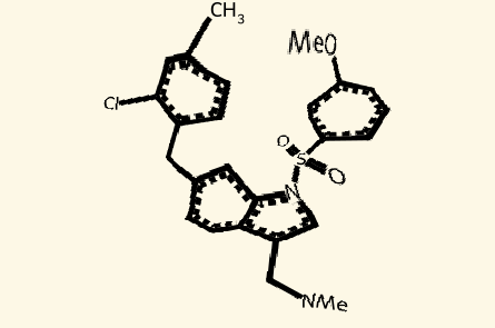 CNCc1cn(S(=O)(=O)c2cccc(OC)c2)c2cc(Cc3ccc(C)cc3Cl)ccc12